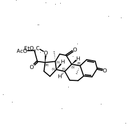 CCOC(=O)O[C@]1(C(=O)COC(C)=O)CC[C@H]2[C@@H]3CCC4=CC(=O)C=C[C@]4(C)[C@H]3C(=O)C[C@@]21C